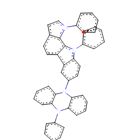 c1ccc(N2c3ccccc3N(c3ccc4c(c3)c3ccc5ccn(-c6ccccc6)c5c3n4-c3ccccc3)c3ccccc32)cc1